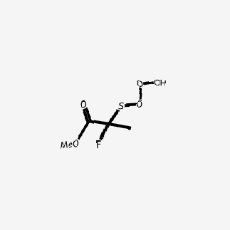 COC(=O)C(C)(F)SOOO